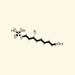 CCCCCCCCCCCCCCCCOP(=O)(O)O.[K]